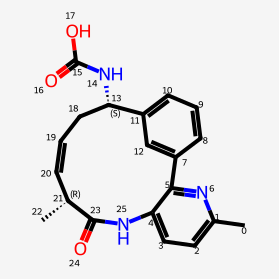 Cc1ccc2c(n1)-c1cccc(c1)[C@@H](NC(=O)O)CC=C[C@@H](C)C(=O)N2